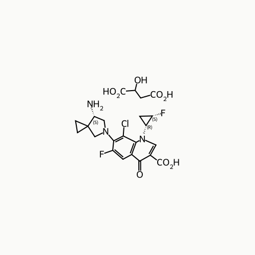 N[C@@H]1CN(c2c(F)cc3c(=O)c(C(=O)O)cn([C@@H]4C[C@@H]4F)c3c2Cl)CC12CC2.O=C(O)CC(O)C(=O)O